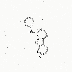 c1ccc(Nc2ncnc3c2sc2ncccc23)cc1